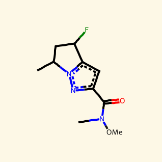 CON(C)C(=O)c1cc2n(n1)C(C)CC2F